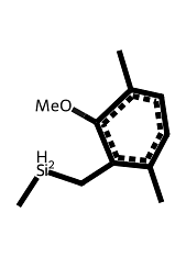 COc1c(C)ccc(C)c1C[SiH2]C